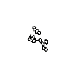 c1ccc(-n2c3ccc(-c4ccc5c6ccccc6n(-c6c7ccccc7nc7c6oc6ccccc67)c5c4)cc3c3ccc4ccccc4c32)cc1